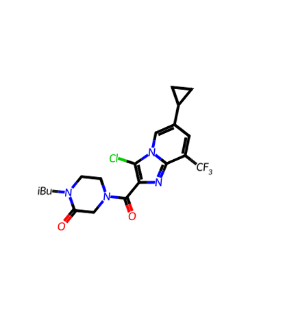 CCC(C)N1CCN(C(=O)c2nc3c(C(F)(F)F)cc(C4CC4)cn3c2Cl)CC1=O